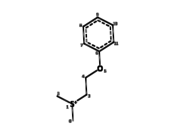 C[S+](C)CCOc1ccccc1